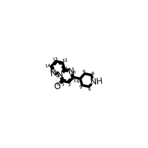 O=c1cc(C2CCNCC2)nc2cccnn12